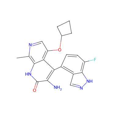 Cc1ncc(OC2CCC2)c2c(-c3ccc(F)c4[nH]ncc34)c(N)c(=O)[nH]c12